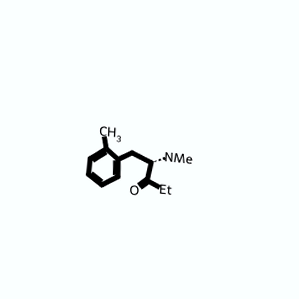 CCC(=O)[C@H](Cc1ccccc1C)NC